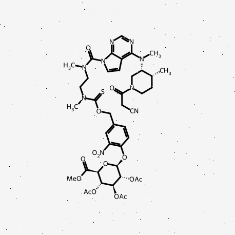 COC(=O)[C@H]1O[C@@H](Oc2ccc(COC(=S)N(C)CCN(C)C(=O)n3ccc4c(N(C)[C@H]5CN(C(=O)CC#N)CC[C@H]5C)ncnc43)cc2[N+](=O)[O-])[C@H](OC(C)=O)[C@@H](OC(C)=O)[C@@H]1OC(C)=O